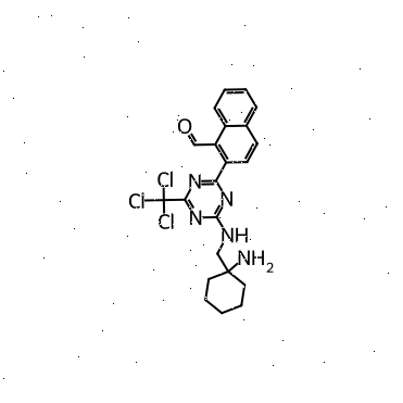 NC1(CNc2nc(-c3ccc4ccccc4c3C=O)nc(C(Cl)(Cl)Cl)n2)CCCCC1